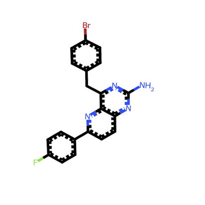 Nc1nc(Cc2ccc(Br)cc2)c2nc(-c3ccc(F)cc3)ccc2n1